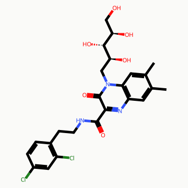 Cc1cc2nc(C(=O)NCCc3ccc(Cl)cc3Cl)c(=O)n(C[C@H](O)[C@H](O)[C@H](O)CO)c2cc1C